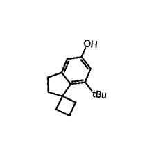 CC(C)(C)c1cc(O)cc2c1C1(CCC1)CC2